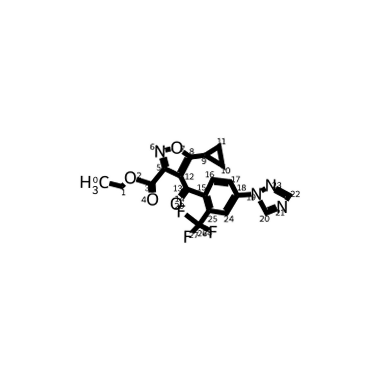 CCOC(=O)c1noc(C2CC2)c1C(=O)c1ccc(-n2cncn2)cc1C(F)(F)F